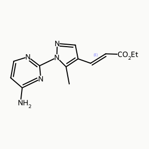 CCOC(=O)/C=C/c1cnn(-c2nccc(N)n2)c1C